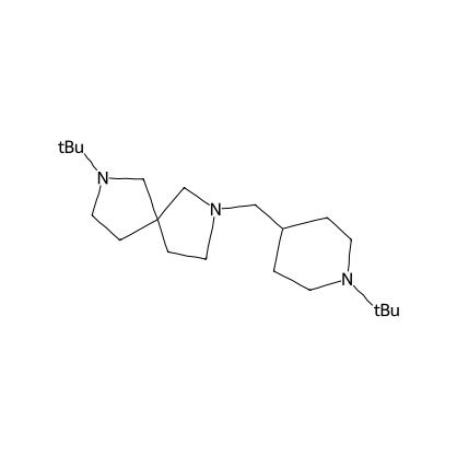 CC(C)(C)N1CCC(CN2CCC3(CCN(C(C)(C)C)C3)C2)CC1